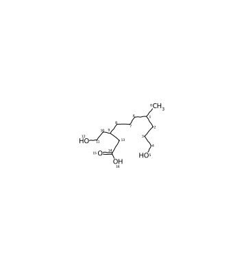 CC(CCCO)CCCC(CCO)CC(=O)O